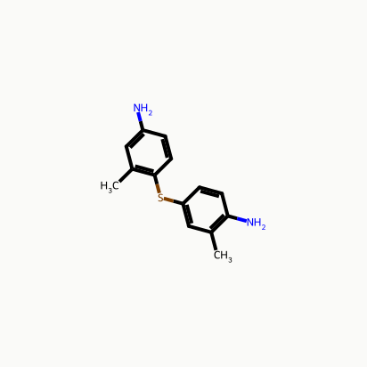 Cc1cc(Sc2ccc(N)cc2C)ccc1N